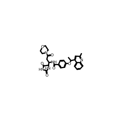 Cc1cc(C(C)Oc2ccc(C(=O)NC(CC(=O)N3CCOCC3)C3NC(=O)NC3=O)cc2)c2ccccc2n1